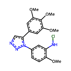 COc1ccc(-n2nncc2-c2cc(OC)c(OC)c(OC)c2)cc1NCl